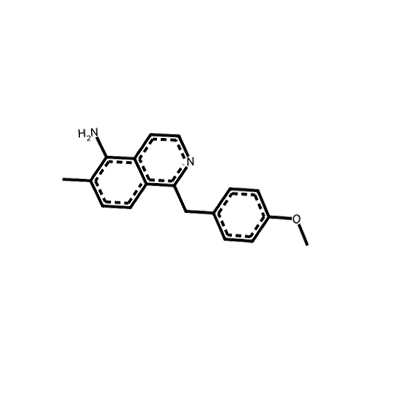 COc1ccc(Cc2nccc3c(N)c(C)ccc23)cc1